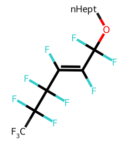 CCCCCCCOC(F)(F)C(F)=C(F)C(F)(F)C(F)(F)C(F)(F)F